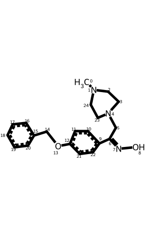 CN1CCN(C/C(=N\O)c2ccc(OCc3ccccc3)cc2)CC1